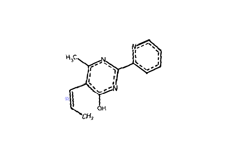 C/C=C\c1c(C)nc(-c2ccccn2)nc1O